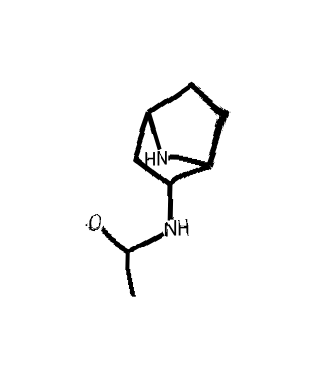 CC([O])NC1CC2CCC1N2